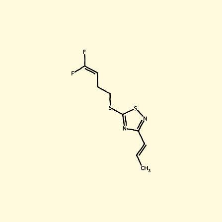 CC=Cc1nsc(SCCC=C(F)F)n1